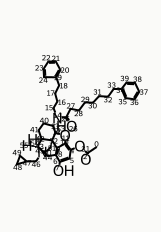 CC(=O)Oc1cc(O)c2c3c1O[C@H]1[C@@H](N(CCCCc4ccccc4)C(=O)CCCCCCCc4ccccc4)CC[C@H]4[C@@H](C2)N(CC2CC2)CC[C@@]341